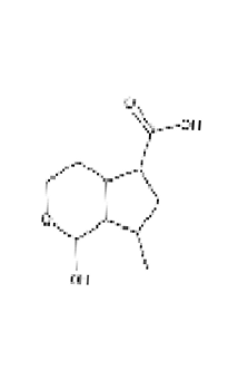 CC1CC(C(=O)O)C2CCOC(O)C12